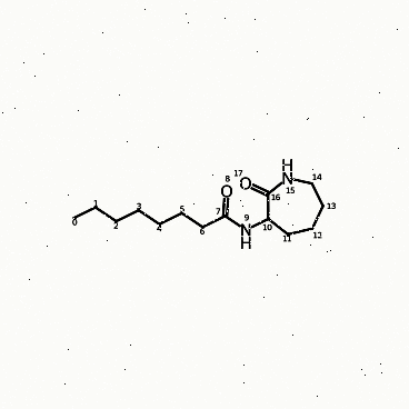 CCCCCCCC(=O)NC1CCCCNC1=O